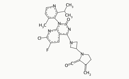 C=C1CCN(C2CN(c3nc(=O)n(-c4c(C)ccnc4C(C)C)c4nc(Cl)c(F)cc34)C2)C1=C=O